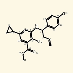 C=CCC(Nc1nc(C2CC2)nc(C(=O)OC)c1Cl)c1ccc(Cl)cc1